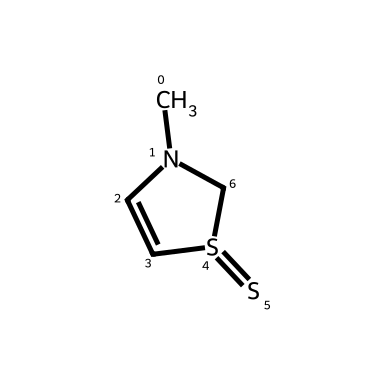 CN1C=CS(=S)C1